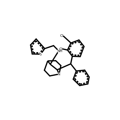 Clc1cccc(C(c2ccccc2)C2C(NCc3cccs3)C3CCN2CC3)c1Cl